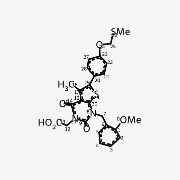 COc1ccccc1Cn1c(=O)n(CC(=O)O)c(=O)c2c(C)c(-c3ccc(OCSC)cc3)sc21